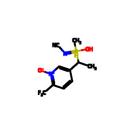 CC(c1ccc(C(F)(F)F)[n+]([O-])c1)[SH](C)(O)=NC#N